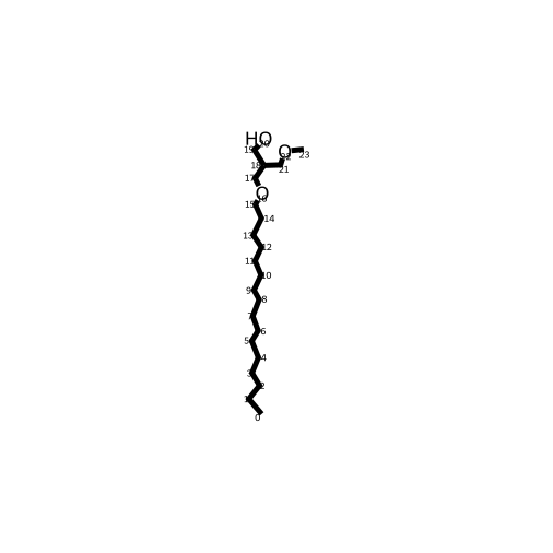 CCCCCCCCCCCCCCCCOCC(CO)COC